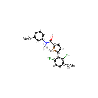 COc1cccc(N(C)C(=O)c2ccc(-c3c(F)ccc(OC)c3F)s2)c1